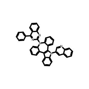 c1ccc(-c2nc(N3c4ccccc4-c4c(n(-c5cnc6ccccc6c5)c5ccccc45)-c4ccccc43)nc3ccccc23)cc1